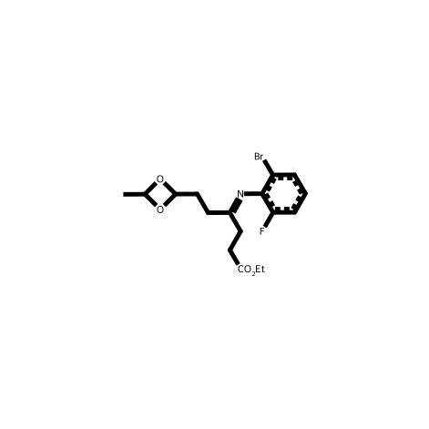 CCOC(=O)CC/C(CCC1OC(C)O1)=N\c1c(F)cccc1Br